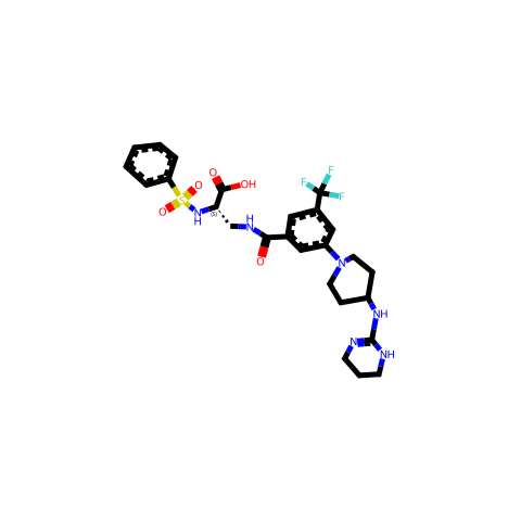 O=C(NC[C@H](NS(=O)(=O)c1ccccc1)C(=O)O)c1cc(N2CCC(NC3=NCCCN3)CC2)cc(C(F)(F)F)c1